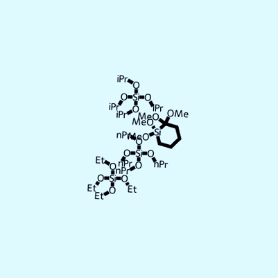 CC(C)O[Si](OC(C)C)(OC(C)C)OC(C)C.CCCO[Si](OCCC)(OCCC)OCCC.CCO[Si](OCC)(OCC)OCC.COC1(OC)CCCC[Si]1(OC)OC